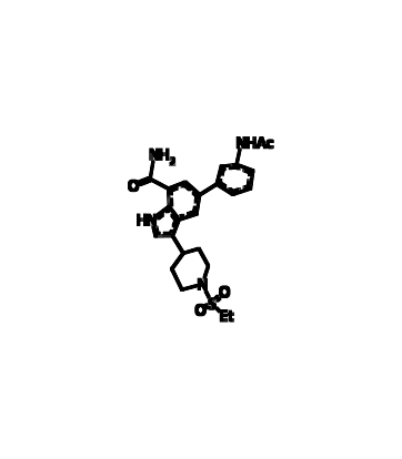 CCS(=O)(=O)N1CCC(c2c[nH]c3c(C(N)=O)cc(-c4cccc(NC(C)=O)c4)cc23)CC1